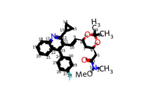 CON(C)C(=O)C[C@H]1C[C@@H](C=Cc2c(C3CC3)nc3ccccc3c2-c2ccc(F)cc2)OC(C)(C)O1